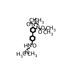 CC(=O)N1c2ccc(-c3ccc(C(=O)NCCN(C)C)cc3)cc2N(C(=O)OC(C)C)C[C@@H]1C